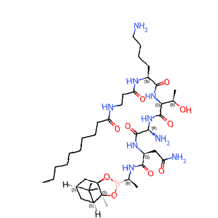 CCCCCCCCCC(=O)NCCC(=O)N[C@@H](CCCCN)C(=O)N[C@H](C(=O)N[C@@H](N)C(=O)N[C@@H](CC(N)=O)C(=O)N[C@@H](C)B1OC2C[C@@H]3C[C@@H](C3(C)C)[C@]2(C)O1)[C@@H](C)O